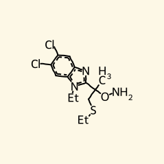 CCSCC(C)(ON)c1nc2cc(Cl)c(Cl)cc2n1CC